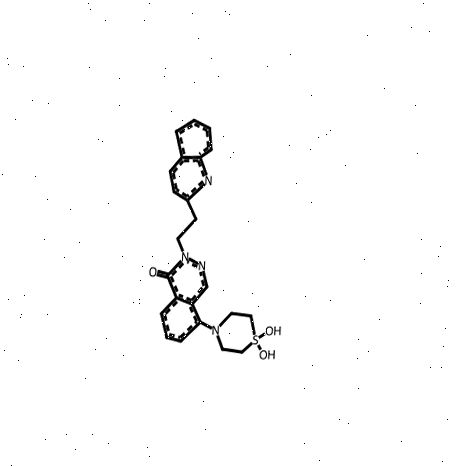 O=c1c2cccc(N3CCS(O)(O)CC3)c2cnn1CCc1ccc2ccccc2n1